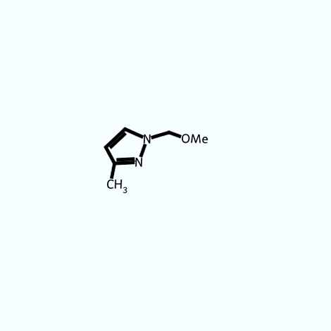 COCn1ccc(C)n1